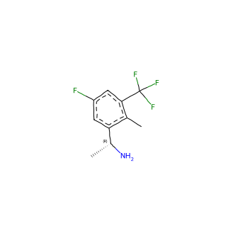 Cc1c([C@@H](C)N)cc(F)cc1C(F)(F)F